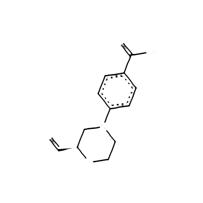 O=C[C@H]1CN(c2ccc(C(=O)O)cc2)CCO1